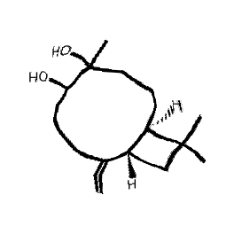 C=C1CCC(O)C(C)(O)CC[C@@H]2[C@@H]1CC2(C)C